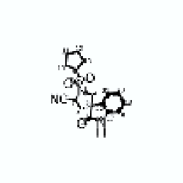 N#C[C@@H]1C[C@@]2(CN1S(=O)(=O)C1CCCC1)C(=O)Nc1ccccc12